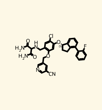 N#Cc1cncc(COc2cc(O[C@H]3CCc4c(-c5ccccc5F)cccc43)c(Cl)cc2CNC(C(N)=O)C(N)=O)c1